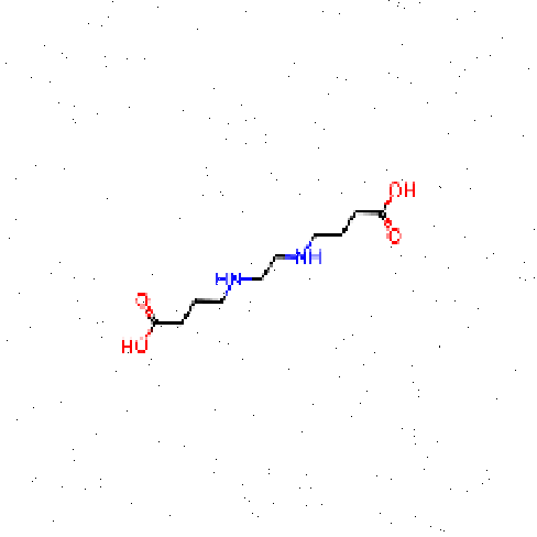 O=C(O)CCCNCCNCCCC(=O)O